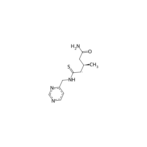 C[C@@H]([CH]C(=S)NCc1ccncn1)CC(N)=O